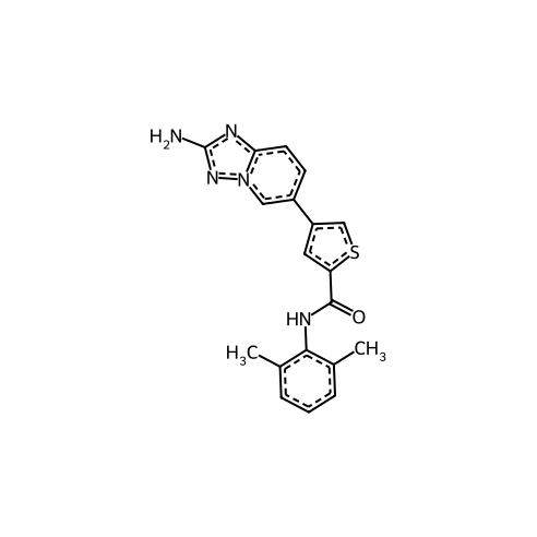 Cc1cccc(C)c1NC(=O)c1cc(-c2ccc3nc(N)nn3c2)cs1